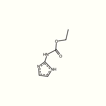 CCOC(=O)Nc1ncc[nH]1